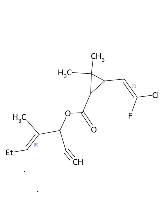 C#CC(OC(=O)C1C(/C=C(\F)Cl)C1(C)C)/C(C)=C/CC